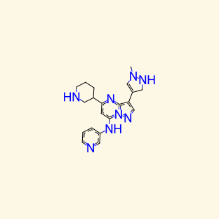 CN1C=C(c2cnn3c(Nc4cccnc4)cc(C4CCCNC4)nc23)CN1